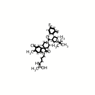 CB(O)NCCCN1C(=O)C2(CCN(C(=O)[C@@H]3CN(C(C)(C)C)C[C@H]3c3ccc(F)cc3F)CC2)c2cc(Cl)c(C)cc21